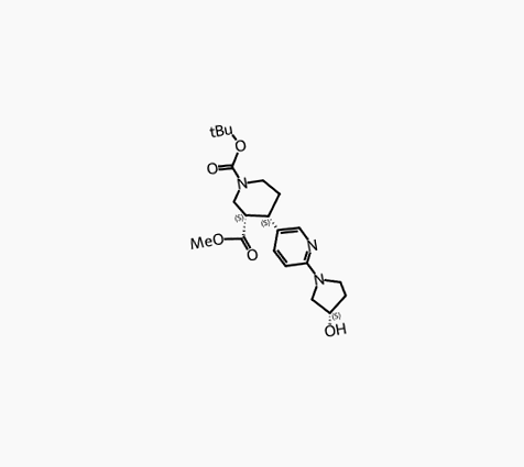 COC(=O)[C@@H]1CN(C(=O)OC(C)(C)C)CC[C@@H]1c1ccc(N2CC[C@H](O)C2)nc1